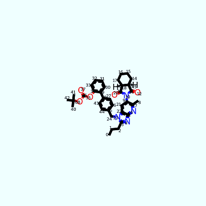 CCCc1nc2nc(C)c(N3C(=O)[C@H]4CCCC[C@H]4C3=O)cc2n1Cc1ccc(-c2ccccc2OC(=O)OC(C)(C)C)cc1